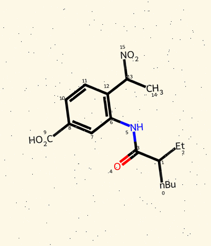 CCCCC(CC)C(=O)Nc1cc(C(=O)O)ccc1C(C)[N+](=O)[O-]